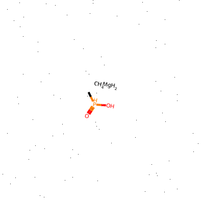 C.C[PH](=O)O.[MgH2]